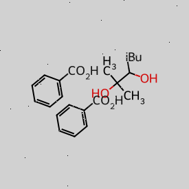 CCC(C)C(O)C(C)(C)O.O=C(O)c1ccccc1.O=C(O)c1ccccc1